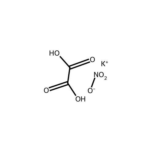 O=C(O)C(=O)O.O=[N+]([O-])[O-].[K+]